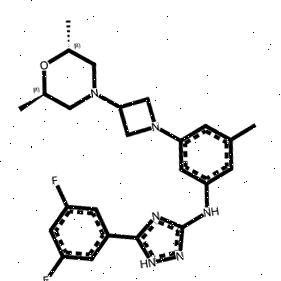 Cc1cc(Nc2n[nH]c(-c3cc(F)cc(F)c3)n2)cc(N2CC(N3C[C@@H](C)O[C@H](C)C3)C2)c1